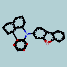 c1ccc(-c2cccc3cccc(N(c4ccccc4)c4ccc5c(c4)oc4ccccc45)c23)cc1